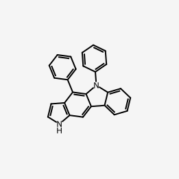 c1ccc(-c2c3cc[nH]c3cc3c4ccccc4n(-c4ccccc4)c23)cc1